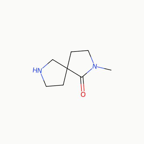 CN1CCC2(CCNC2)C1=O